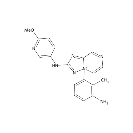 COc1ccc(NC2=N[N+]3(c4cccc(N)c4C)C=CN=CC3=N2)cn1